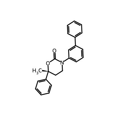 C[C@]1(c2ccccc2)CCN(c2cccc(-c3ccccc3)c2)C(=O)O1